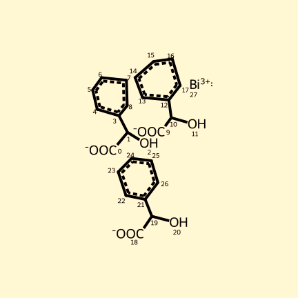 O=C([O-])C(O)c1ccccc1.O=C([O-])C(O)c1ccccc1.O=C([O-])C(O)c1ccccc1.[Bi+3]